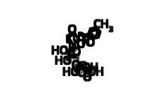 Cc1ccc2onc(Cn3c(=O)ccn([C@@H]4O[C@H](COP(=O)(O)OP(=O)(O)O)C(O)[C@@H]4O)c3=O)c2c1